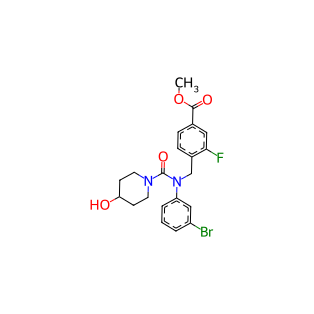 COC(=O)c1ccc(CN(C(=O)N2CCC(O)CC2)c2cccc(Br)c2)c(F)c1